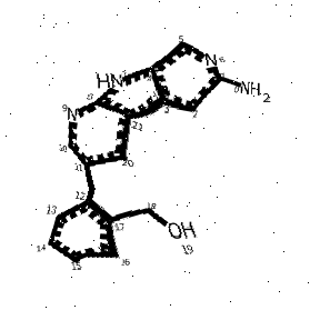 Nc1cc2c(cn1)[nH]c1ncc(-c3ccccc3CO)cc12